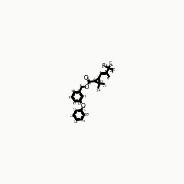 C/C(=C\C1C(C(=O)OCc2cccc(Oc3ccccc3)c2)C1(C)C)C(F)(F)F